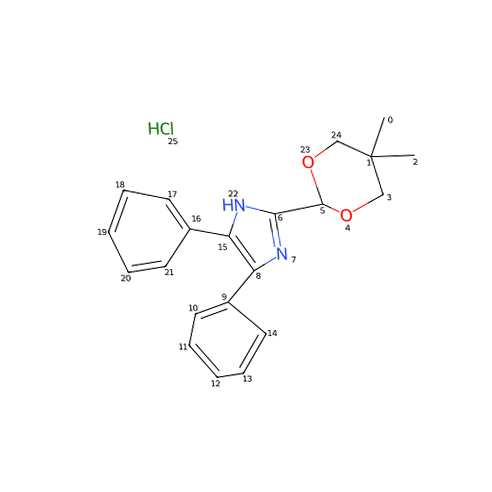 CC1(C)COC(c2nc(-c3ccccc3)c(-c3ccccc3)[nH]2)OC1.Cl